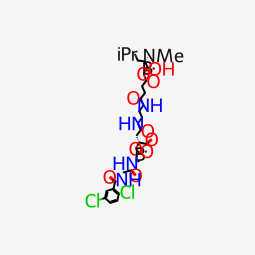 CN[C@@H](CC(C)C)B(O)OC(=O)CCC(=O)NCCNC(=O)C[C@H]1OB(CNC(=O)CNC(=O)c2cc(Cl)ccc2Cl)OC1=O